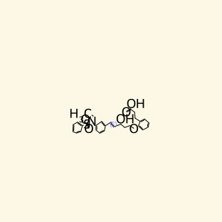 CCN(c1cccc(/C=C/C(O)CCOc2ccccc2CCC(=O)O)c1)S(=O)(=O)c1ccccc1